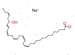 CC/C=C\C[C@H](O)/C=C/C=C\C/C=C\C/C=C\C/C=C\CCCCCCCCCCCCC(=O)[O-].[Na+]